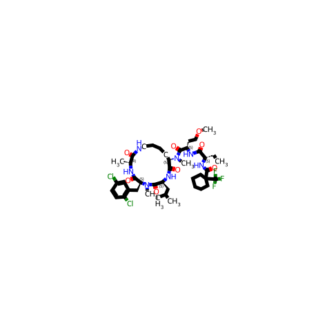 CC[C@H](NC(=O)C1(C(F)(F)F)CCCCC1)C(=O)N[C@@H](CCOC)C(=O)N(C)[C@H]1CCCCNC(=O)[C@@H](C)NC(=O)[C@H](Cc2cc(Cl)ccc2Cl)N(C)C(=O)[C@H](CC(C)C)NC1=O